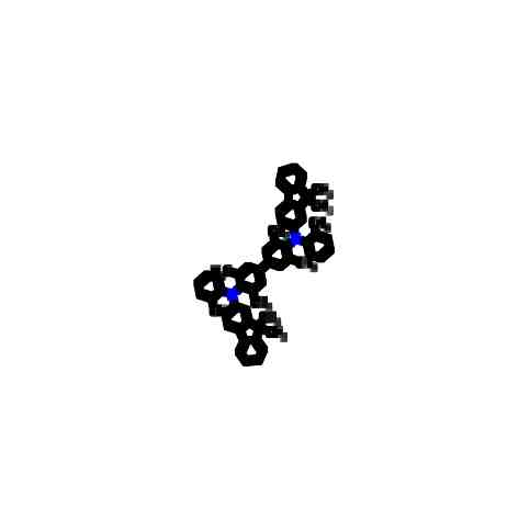 Cc1ccccc1N(c1ccc2c(c1)C(C)(C)c1ccccc1-2)c1c(C)cc(-c2cc(C)c(N(c3ccc4c(c3)C(C)(C)c3ccccc3-4)c3ccccc3C)c(C)c2)cc1C